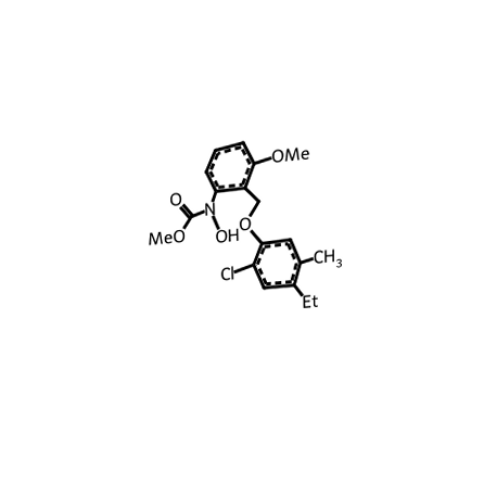 CCc1cc(Cl)c(OCc2c(OC)cccc2N(O)C(=O)OC)cc1C